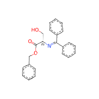 O=C(OCc1ccccc1)[C@H](CO)N=C(c1ccccc1)c1ccccc1